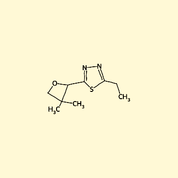 CCc1nnc(C2OCC2(C)C)s1